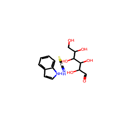 N=C=S.O=CC(O)C(O)C(O)C(O)CO.c1ccc2[nH]ccc2c1